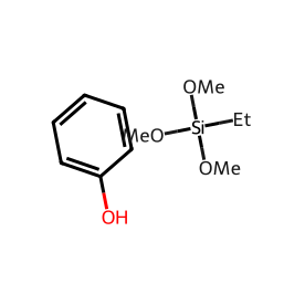 CC[Si](OC)(OC)OC.Oc1ccccc1